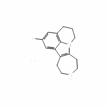 Cl.Fc1cc2c3c(c1)c1c(n3CCC2)CCNCC1